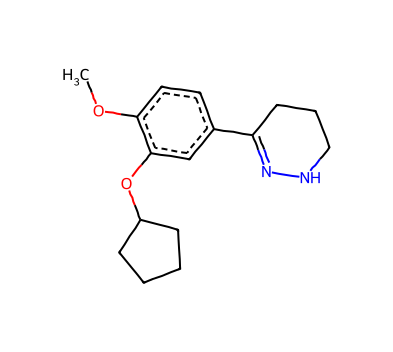 COc1ccc(C2=NNCCC2)cc1OC1CCCC1